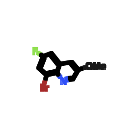 COc1cnc2c(Br)cc(F)cc2c1